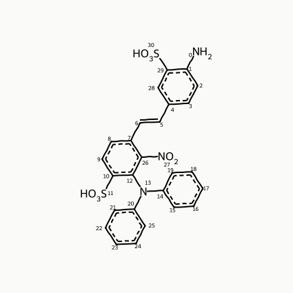 Nc1ccc(C=Cc2ccc(S(=O)(=O)O)c(N(c3ccccc3)c3ccccc3)c2[N+](=O)[O-])cc1S(=O)(=O)O